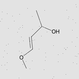 COC=CC(C)O